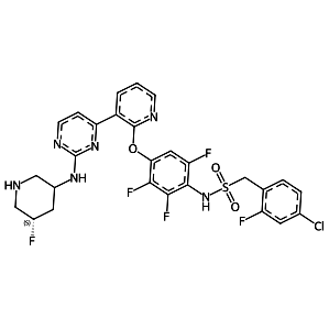 O=S(=O)(Cc1ccc(Cl)cc1F)Nc1c(F)cc(Oc2ncccc2-c2ccnc(NC3CNC[C@@H](F)C3)n2)c(F)c1F